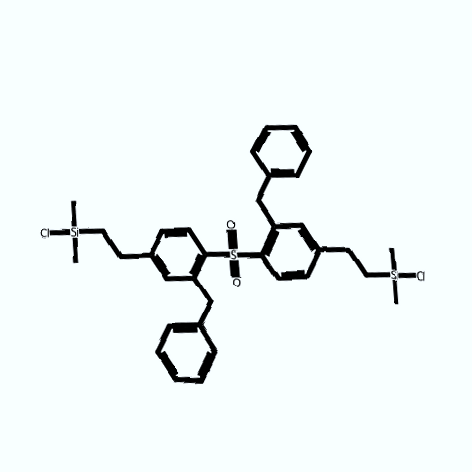 C[Si](C)(Cl)CCc1ccc(S(=O)(=O)c2ccc(CC[Si](C)(C)Cl)cc2Cc2ccccc2)c(Cc2ccccc2)c1